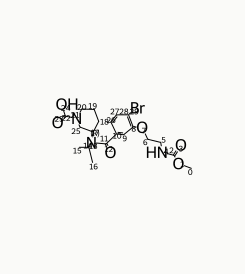 COC(=O)NCCOc1cc(C(=O)N(C(C)C)[C@@H]2CCCN(C(=O)O)C2)ccc1Br